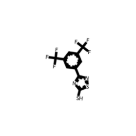 FC(F)(F)c1cc(-c2nsc(S)n2)cc(C(F)(F)F)c1